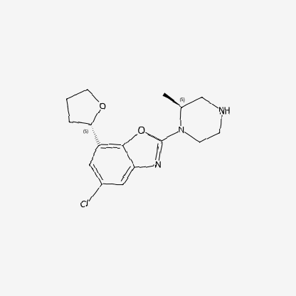 C[C@H]1CNCCN1c1nc2cc(Cl)cc([C@@H]3CCCO3)c2o1